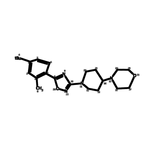 Cc1cc(C(C)(C)C)ccc1-c1nc(N2CCC(N3CCOCC3)CC2)no1